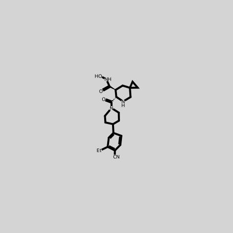 CCc1cc(C2CCN(C(=O)[C@H]3NCC4(CC4)C[C@@H]3C(=O)NO)CC2)ccc1C#N